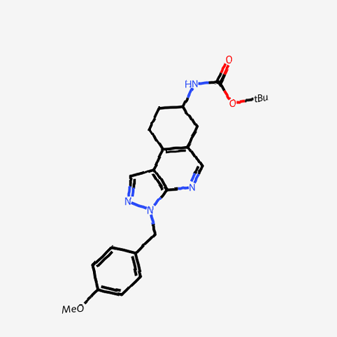 COc1ccc(Cn2ncc3c4c(cnc32)CC(NC(=O)OC(C)(C)C)CC4)cc1